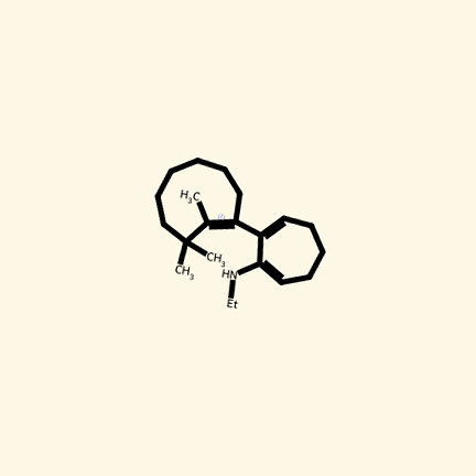 CCNC1=CCCCC=C1/C1=C(/C)C(C)(C)CCCCCC1